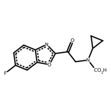 O=C(CN(C(=O)O)C1CC1)c1nc2ccc(F)cc2o1